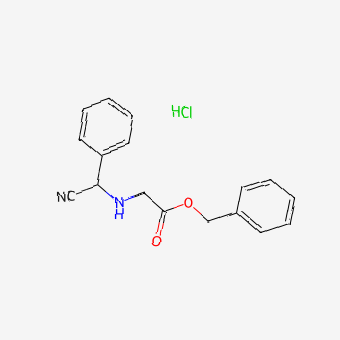 Cl.N#CC(NCC(=O)OCc1ccccc1)c1ccccc1